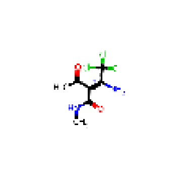 CNC(=O)/C(C(C)=O)=C(\N)C(Cl)(Cl)Cl